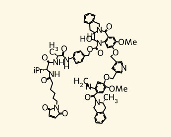 C=Nc1cc(OCc2cncc(COc3cc4c(cc3OC)C(=O)N3Cc5ccccc5C[C@H]3C(O)N4C(=O)OCc3ccc(NC(=O)[C@H](C)NC(=O)[C@@H](NC(=O)CCCCCN4C(=O)C=CC4=O)C(C)C)cc3)c2)c(OC)cc1C(=O)N1Cc2ccccc2C[C@H]1C